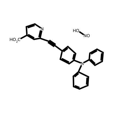 O=C(O)c1ccnc(C#Cc2ccc(N(c3ccccc3)c3ccccc3)cc2)c1.O=NO